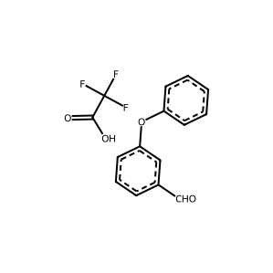 O=C(O)C(F)(F)F.O=Cc1cccc(Oc2ccccc2)c1